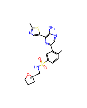 Cc1ncc(-c2nc(-c3cc(S(=O)(=O)NC[C@H]4CCCO4)ccc3C)cnc2N)s1